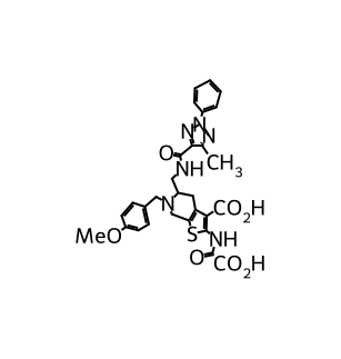 COc1ccc(CN2Cc3sc(NC(=O)C(=O)O)c(C(=O)O)c3CC2CNC(=O)c2nn(-c3ccccc3)nc2C)cc1